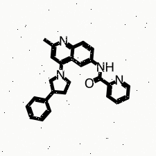 Cc1cc(N2CCC(c3ccccc3)C2)c2cc(NC(=O)c3ccccn3)ccc2n1